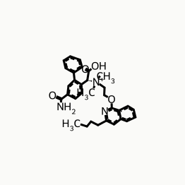 CCCCc1cc2ccccc2c(OCC[N+](C)(C)[C@@H](C(=O)O)c2ccc(C(N)=O)cc2-c2ccccc2)n1